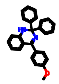 COc1ccc(C2=NC(c3ccccc3)(c3ccccc3)Nc3ccccc32)cc1